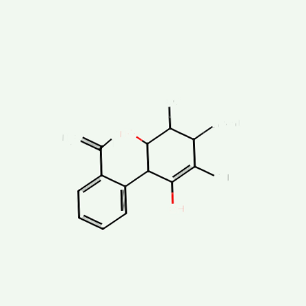 C=C(C)c1ccccc1C1C(O)=C(C)C(CCCCC)C(C(=O)O)C1O